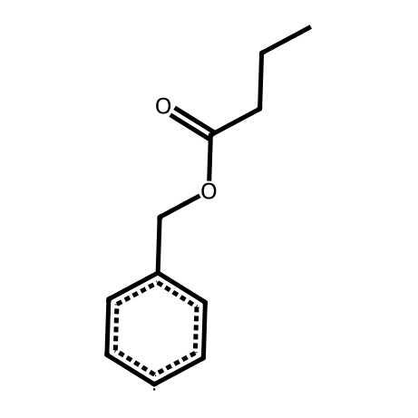 CCCC(=O)OCc1cc[c]cc1